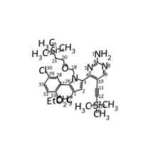 CCOC(=O)c1cc(-c2nc(N)ncc2C#C[Si](C)(C)C)n(COCC[Si](C)(C)C)c1-c1cc(Cl)ccc1C